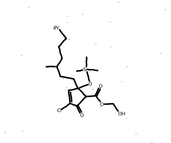 CC(C)CCCC(C)CCC1(O[Si](C)(C)C)C=C(Cl)C(=O)C1C(=O)OCO